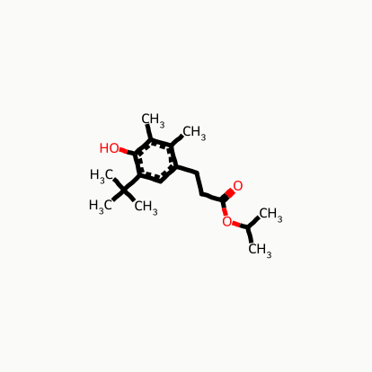 Cc1c(CCC(=O)OC(C)C)cc(C(C)(C)C)c(O)c1C